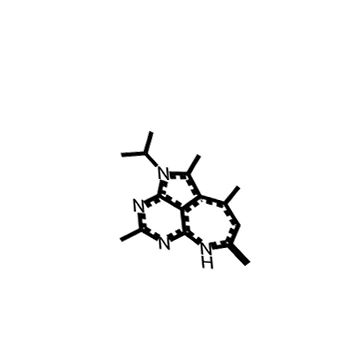 C=c1cc(C)c2c(C)n(C(C)C)c3nc(C)nc([nH]1)c23